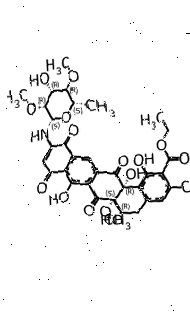 CCOC(=O)c1c(C)cc2c(c1O)[C@]1(O)C(=O)c3cc4c(c(O)c3C(=O)[C@]1(OC)[C@H](O)C2)C(=O)C=C(N[C@H]1O[C@@H](C)[C@H](OC)[C@@H](O)[C@H]1OC)C4=O